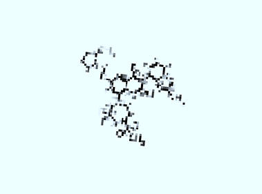 CN1CCC[C@H]1COc1nc(N2CCN(S(C)(=O)=O)CC(F)(F)C2)c2cc(Cl)c(-c3cccc4sc(N)nc34)c(F)c2n1